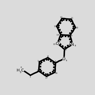 CCc1ccc(Oc2nc3ccccc3o2)cc1